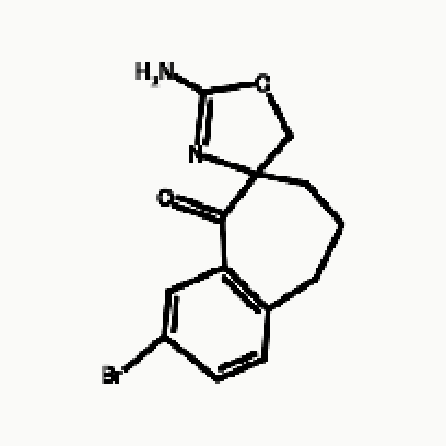 NC1=NC2(CCCc3ccc(Br)cc3C2=O)CO1